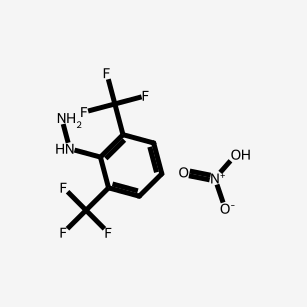 NNc1c(C(F)(F)F)cccc1C(F)(F)F.O=[N+]([O-])O